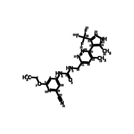 CCOc1cc(NC(=O)NCc2cc(C)c(-c3c(C(F)(F)F)n[nH]c3C)nn2)cc(C#N)n1